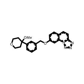 COC1(c2cccc(COc3ccc4ccc5nnnn5c4c3)c2)CCOCC1